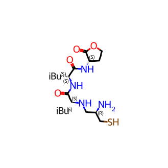 CC[C@H](C)[C@H](NC[C@@H](N)CS)C(=O)N[C@H](C(=O)N[C@H]1CCOC1=O)[C@@H](C)CC